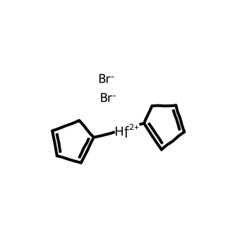 C1=CC[C]([Hf+2][C]2=CC=CC2)=C1.[Br-].[Br-]